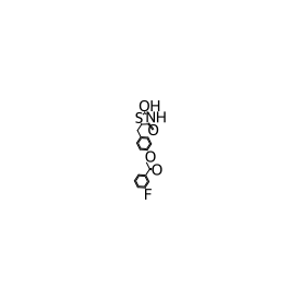 O=C(COc1ccc(CC2SC(O)NC2=O)cc1)c1cccc(F)c1